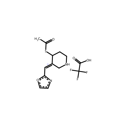 CC(=O)SC1CCNC/C1=C\c1ncco1.O=C(O)C(F)(F)F